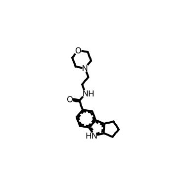 O=C(NCCN1CCOCC1)c1ccc2[nH]c3c(c2c1)CCC3